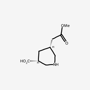 COC(=O)C[C@@H]1CNC[C@H](C(=O)O)C1